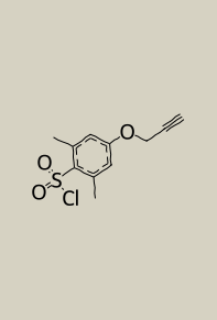 C#CCOc1cc(C)c(S(=O)(=O)Cl)c(C)c1